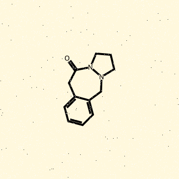 O=C1Cc2ccccc2CN2CCCN12